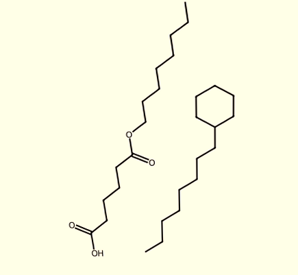 CCCCCCCCC1CCCCC1.CCCCCCCCOC(=O)CCCCC(=O)O